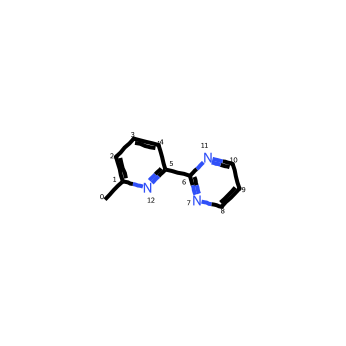 Cc1cc[c]c(-c2ncccn2)n1